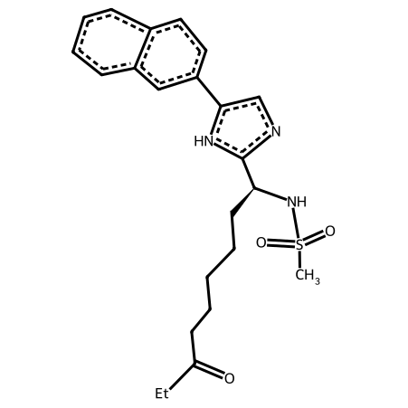 CCC(=O)CCCCC[C@H](NS(C)(=O)=O)c1ncc(-c2ccc3ccccc3c2)[nH]1